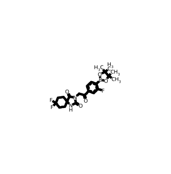 CC1(C)OB(c2ccc(C(=O)CN3C(=O)NC4(CCC(F)(F)CC4)C3=O)cc2F)OC1(C)C